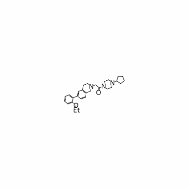 CCOc1ccccc1-c1ccc2c(c1)CCN(CC(=O)N1CCN(C3CCCC3)CC1)C2